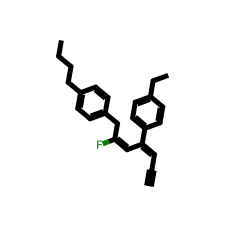 C#C/C=C(\C=C(\F)Cc1ccc(CCCC)cc1)c1ccc(CC)cc1